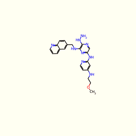 COCCNc1ccnc(Nc2cnc(NN)c(NCc3ccc4ncccc4c3)n2)c1